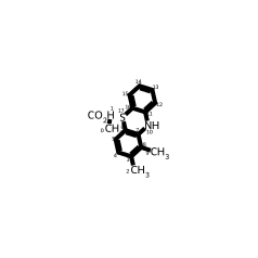 CC(=O)O.Cc1ccc2c(c1C)Nc1ccccc1S2